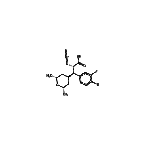 C[C@@H]1CC([C@H](c2ccc(Cl)c(F)c2)[C@H](N=[N+]=[N-])C(=O)O)C[C@H](C)O1